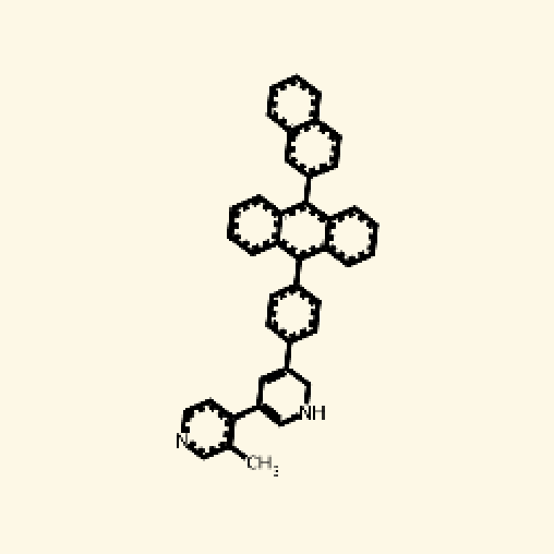 Cc1cnccc1C1=CNCC(c2ccc(-c3c4ccccc4c(-c4ccc5ccccc5c4)c4ccccc34)cc2)=C1